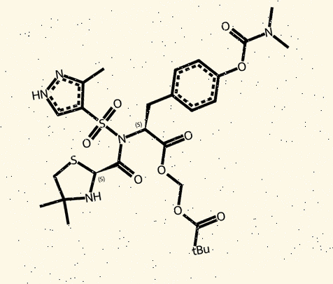 Cc1n[nH]cc1S(=O)(=O)N(C(=O)[C@H]1NC(C)(C)CS1)[C@@H](Cc1ccc(OC(=O)N(C)C)cc1)C(=O)OCOC(=O)C(C)(C)C